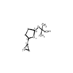 CC(C)(O)O[C@@H]1CCC([C@H]2CO2)O1